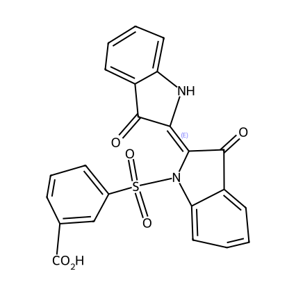 O=C(O)c1cccc(S(=O)(=O)N2/C(=C3/Nc4ccccc4C3=O)C(=O)c3ccccc32)c1